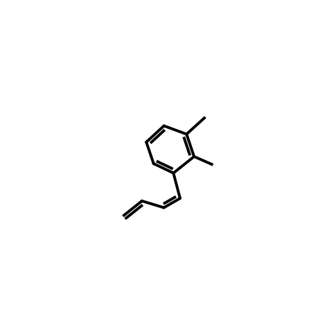 C=C/C=C\c1cccc(C)c1C